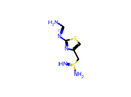 N=S(N)Cc1csc(/N=C/N)n1